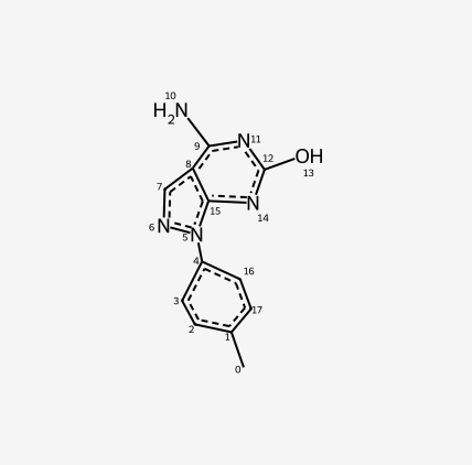 Cc1ccc(-n2ncc3c(N)nc(O)nc32)cc1